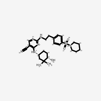 CC1(C)C[C@H](Nc2nc(NCCc3ccc(S(=O)(=O)N4CCCCC4)cc3)ncc2C#N)CC[C@@H]1O